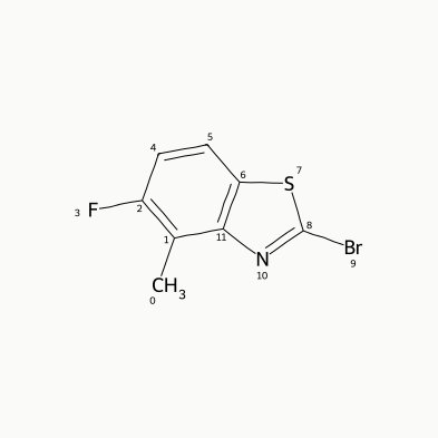 Cc1c(F)ccc2sc(Br)nc12